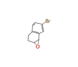 Brc1ccc2c(c1)C1OC1CC2